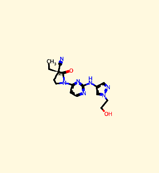 CC[C@]1(C#N)CCN(c2ccnc(Nc3cnn(CCO)c3)n2)C1=O